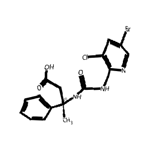 C[C@@](CC(=O)O)(NC(=O)Nc1ncc(Br)cc1Cl)c1ccccc1